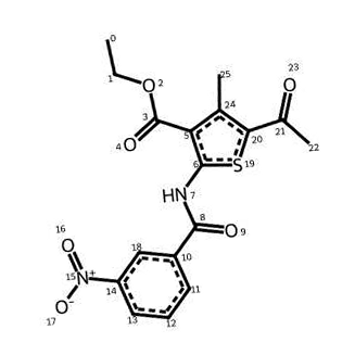 CCOC(=O)c1c(NC(=O)c2cccc([N+](=O)[O-])c2)sc(C(C)=O)c1C